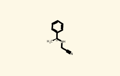 C[C@H](NCC#N)c1ccccc1